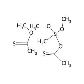 COC(C)=S.CO[Si](C)(OC)OC(C)=S